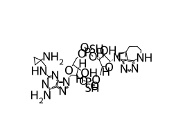 Nc1nc(NCC2(N)CC2)nc2c1ncn2[C@@H]1OC2COP(=O)(S)O[C@H]3[C@@H](O)[C@H](n4cc5c6c(ncnc64)NCCC5)O[C@@H]3COP(=O)(S)O[C@@H]1[C@@H]2O